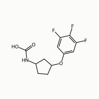 O=C(O)NC1CCC(Oc2cc(F)c(F)c(F)c2)C1